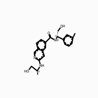 Cc1cccc([C@@H](CO)NC(=O)c2ccc3cnc(N[C@@H](C)CO)cc3c2)c1